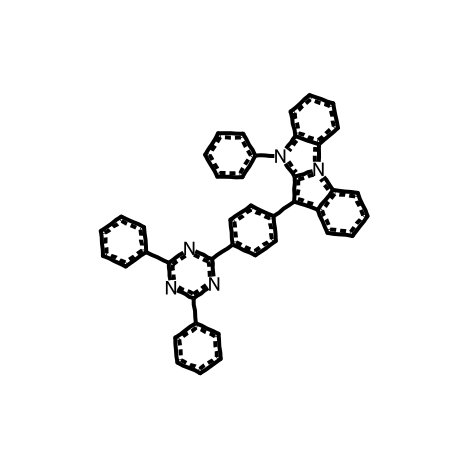 c1ccc(-c2nc(-c3ccccc3)nc(-c3ccc(-c4c5ccccc5n5c6ccccc6n(-c6ccccc6)c45)cc3)n2)cc1